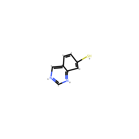 Sc1ccc2cncnc2c1